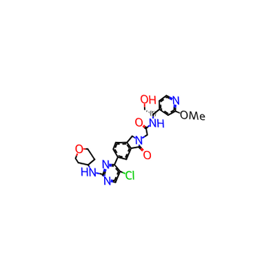 COc1cc([C@@H](CO)NC(=O)CN2Cc3ccc(-c4nc(NC5CCOCC5)ncc4Cl)cc3C2=O)ccn1